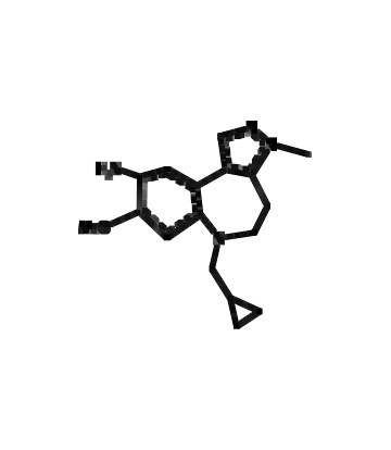 COc1cc2c(cc1N)-c1cnn(C)c1CCN2CC1CC1